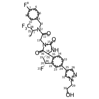 C[C@H](N(Cc1ccc(F)cc1)C(=O)CN1C(=O)N[C@]2(C[C@@H](F)c3cc(-c4cnn(CCO)c4)ccc32)C1=O)C(F)(F)F